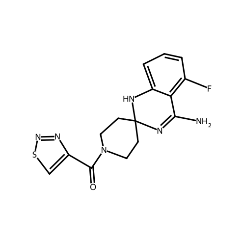 NC1=NC2(CCN(C(=O)c3csnn3)CC2)Nc2cccc(F)c21